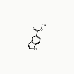 CC(C)(C)OC(=S)c1ccc2[nH]ccc2c1